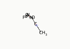 CCCCCC=CC/C=C/CCCCCCCC(=O)N1CCC(c2noc3cc(F)ccc23)CC1